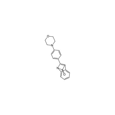 O=C1c2c(-c3ccc(N4CCOCC4)cc3)n1c1ccccc21